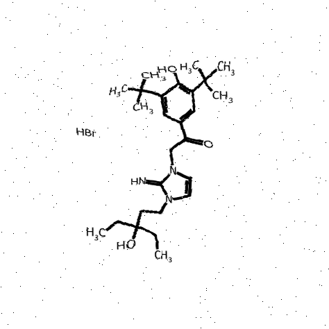 Br.CCC(O)(CC)CCn1ccn(CC(=O)c2cc(C(C)(C)C)c(O)c(C(C)(C)C)c2)c1=N